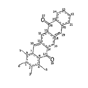 Cc1c(C)c(C)c2c(c1C)C=c1cc3c(cc1C2=O)=Cc1ccccc1C3=O